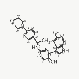 CC(Nc1ncc(C#N)c(-c2c[nH]c3ncc(C(F)(F)F)cc23)n1)c1ccc(N2CCOCC2)nc1